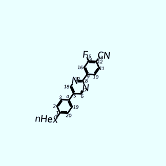 CCCCCCc1ccc(-c2cnc(-c3ccc(C#N)c(F)c3)nc2)cc1